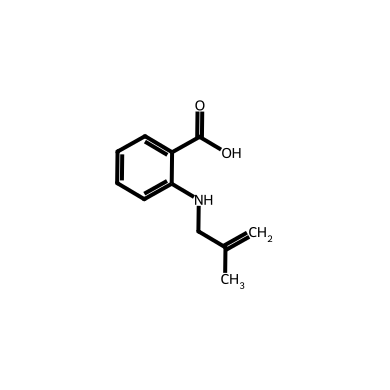 C=C(C)CNc1ccccc1C(=O)O